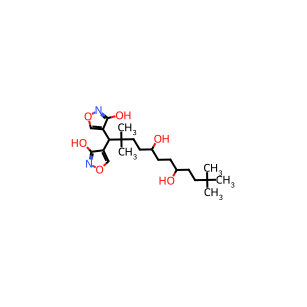 CC(C)(C)CCC(O)CCC(O)CCC(C)(C)C(c1conc1O)c1conc1O